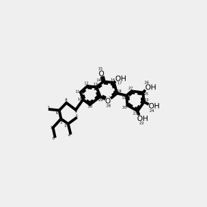 CCC(C(C)C)C(C)CCc1ccc2c(=O)c(O)c(-c3cc(O)c(O)c(O)c3)oc2c1